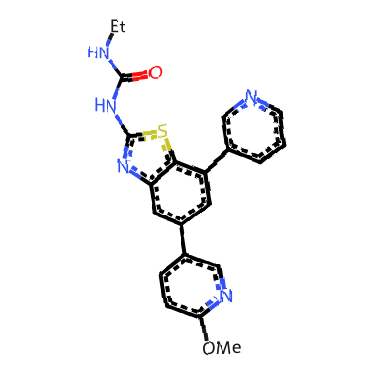 CCNC(=O)Nc1nc2cc(-c3ccc(OC)nc3)cc(-c3cccnc3)c2s1